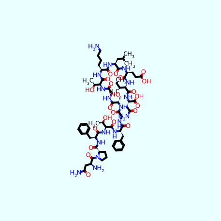 CC[C@H](C)[C@H](NC(=O)[C@H](CCC(=O)O)NC(=O)[C@H](CC(C)C)NC(=O)[C@H](CCCCN)NC(=O)[C@@H](NC(=O)CNC(=O)[C@H](CO)NC(=O)CNC(=O)[C@H](Cc1ccccc1)NC(=O)[C@@H](NC(=O)[C@H](Cc1ccccc1)NC(=O)[C@@H]1CCCN1C(=O)[C@@H](N)CC(N)=O)[C@@H](C)O)[C@@H](C)O)C(=O)N[C@@H](CC(N)=O)C(=O)O